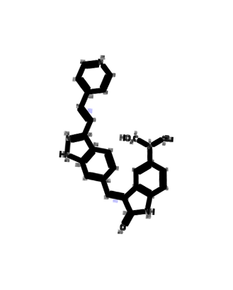 CC(C)(C)N(C(=O)O)c1ccc2c(c1)/C(=C\c1ccc3c(/C=C/c4ccncc4)n[nH]c3c1)C(=O)N2